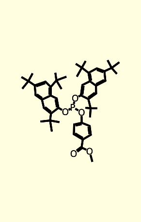 COC(=O)c1ccc(OP(Oc2cc3c(C(C)(C)C)cc(C(C)(C)C)cc3cc2C(C)(C)C)Oc2cc3c(C(C)(C)C)cc(C(C)(C)C)cc3cc2C(C)(C)C)cc1